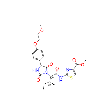 CC[C@H](C)[C@@H](C(=O)Nc1nc(C(=O)OC)cs1)N1C(=O)NC(c2ccc(OCCOC)cc2)C1=O